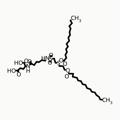 CCCCCCCCCCCCCCCC(=O)OCC(CSCCS(=O)(=O)NCCCCCC(=O)NC(CCC(=O)O)C(=O)O)OC(=O)CCCCCCCCCCCCCCC